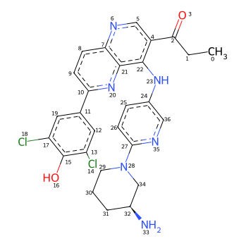 CCC(=O)c1cnc2ccc(-c3cc(Cl)c(O)c(Cl)c3)nc2c1Nc1ccc(N2CCC[C@H](N)C2)nc1